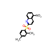 Cc1ccc(S(=O)(=O)c2ccc3c([N+](=O)[O-])cccc3n2)c(C)c1